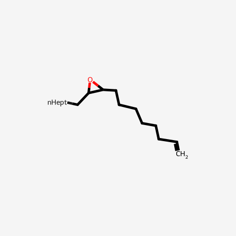 C=CCCCCCCC1OC1CCCCCCCC